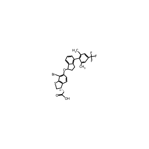 Cc1cc(C(F)(F)F)cc(C)c1-c1cccc2c1CCC2Oc1ccc2c(c1Br)SC[C@H]2CC(=O)O